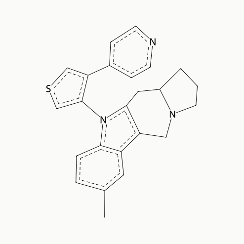 Cc1ccc2c(c1)c1c(n2-c2cscc2-c2ccncc2)CC2CCCN2C1